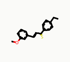 CCc1ccc(C(=S)C=Cc2cccc(OC)c2)cc1